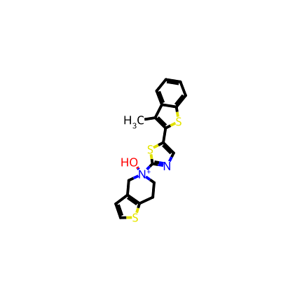 Cc1c(-c2cnc([N+]3(O)CCc4sccc4C3)s2)sc2ccccc12